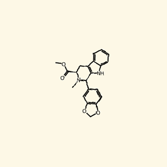 COC(=O)[C@H]1Cc2c([nH]c3ccccc23)C(c2ccc3c(c2)OCO3)N1C